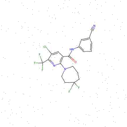 N#Cc1cccc(NC(=O)c2cc(Cl)c(C(F)(F)F)nc2N2CCCC(F)(F)CC2)c1